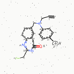 C#CCN(Cc1ccc2nc(CF)[nH]c(=O)c2c1)c1ccc(C(=O)O)cc1